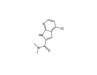 CN(C)C(=O)c1cc2c(Cl)ccnc2[nH]1